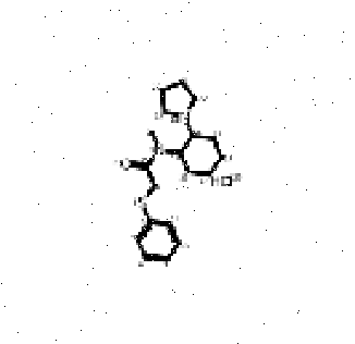 CN(C(=O)CSc1ccccc1)C1CCCCC1N1CCCC1.Cl